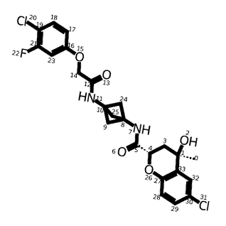 C[C@@]1(O)C[C@@H](C(=O)NC23CC(NC(=O)COc4ccc(Cl)c(F)c4)(C2)C3)Oc2ccc(Cl)cc21